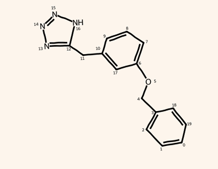 c1ccc(COc2cccc(Cc3nnn[nH]3)c2)cc1